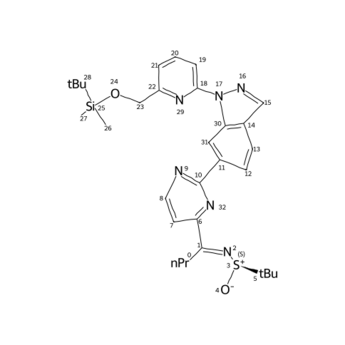 CCCC(=N[S@+]([O-])C(C)(C)C)c1ccnc(-c2ccc3cnn(-c4cccc(CO[Si](C)(C)C(C)(C)C)n4)c3c2)n1